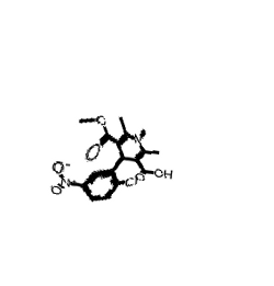 COC(=O)C1=C(C)N(C)C(C)=C(C(=O)O)C1c1cc([N+](=O)[O-])ccc1Cl